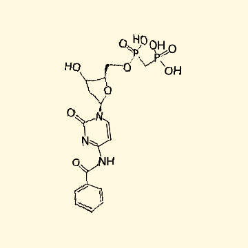 O=C(Nc1ccn([C@H]2CC(O)[C@@H](COP(=O)(O)CP(=O)(O)O)O2)c(=O)n1)c1ccccc1